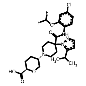 CC(C)c1ccnn1C1(C(=O)Nc2ccc(Cl)cc2OC(F)F)CCN([C@H]2CC[C@H](C(=O)O)OC2)CC1